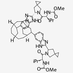 COC(=O)N[C@H](C(=O)N1CC2(CC2)CC1c1nc2ccc(C3C[C@@H]4CC[C@H]5CC[C@@H](CC[C@H]3CC4)CC5c3ccc4[nH]c([C@@H]5CC6(CC6)CN5C(=O)[C@@H](NC(=O)OC)C(C)C)nc4c3)cc2[nH]1)C(C)C